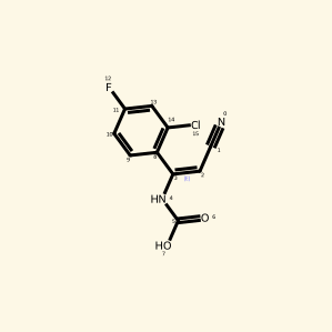 N#C/C=C(/NC(=O)O)c1ccc(F)cc1Cl